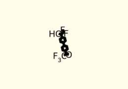 O=C(c1ccc(-c2ccc(C(O)C(F)F)cc2)cc1)C(F)(F)F